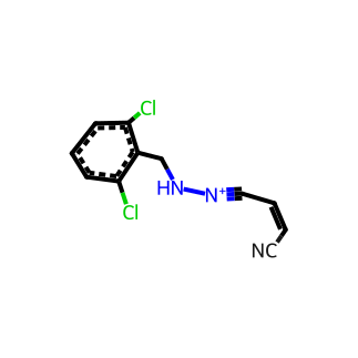 N#C/C=C\C#[N+]NCc1c(Cl)cccc1Cl